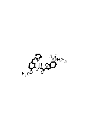 COc1ccc(Cn2cccn2)cc1SNC(=O)c1cc2ccc(N(C)C)cc2o1